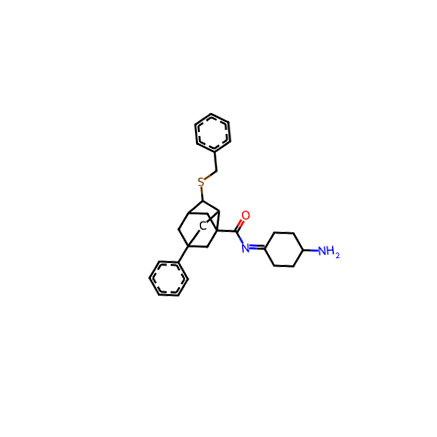 NC1CCC(=NC(=O)C23CC4CC(c5ccccc5)(CC2C4SCc2ccccc2)C3)CC1